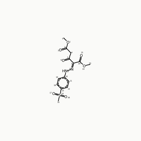 COC(=O)CC(=O)/C(=N\Nc1ccc(S(C)(=O)=O)cc1)C(=O)OC